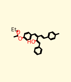 CCOC(C)Oc1ccc(C=C(C=Cc2ccc(C)cc2)C(O)=Cc2ccccc2)cc1